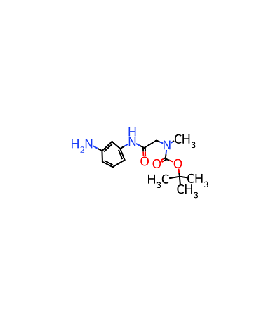 CN(CC(=O)Nc1cccc(N)c1)C(=O)OC(C)(C)C